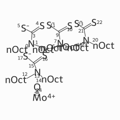 CCCCCCCCN(CCCCCCCC)C(=S)[S-].CCCCCCCCN(CCCCCCCC)C(=S)[S-].CCCCCCCCN(CCCCCCCC)C(=S)[S-].CCCCCCCCN(CCCCCCCC)C(=S)[S-].[O]=[Mo+4]